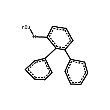 CCCC[N]c1cccc(-c2ccccc2)c1-c1ccccc1